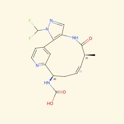 C[C@H]1/C=C\C[C@@H](NC(=O)O)c2cc(ccn2)-c2c(cnn2C(F)F)NC1=O